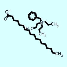 CCCCCCCCCCCCCCCCCC(=O)[O-].CCC[N+](CCC)(CCC)Cc1ccccc1